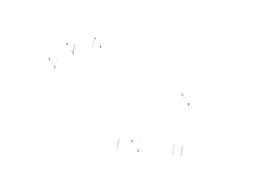 Fc1ccc2cc1-c1cnn3ccc(nc13)OCCN1CCC[C@H]1CN2